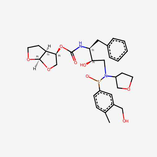 Cc1ccc([S+]([O-])N(C[C@@H](O)[C@H](Cc2ccccc2)NC(=O)O[C@H]2CO[C@H]3OCC[C@H]32)C2CCOC2)cc1CO